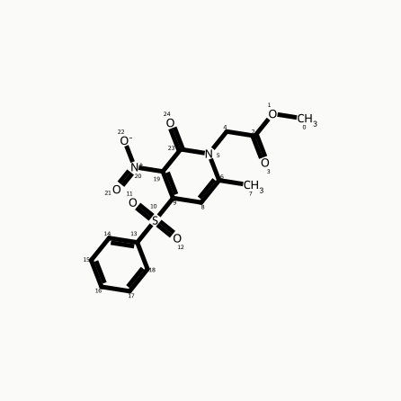 COC(=O)Cn1c(C)cc(S(=O)(=O)c2ccccc2)c([N+](=O)[O-])c1=O